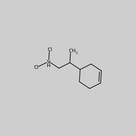 CC(C[SiH](Cl)Cl)C1CC=CCC1